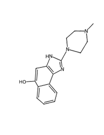 CN1CCN(c2nc3c(cc(O)c4ccccc43)[nH]2)CC1